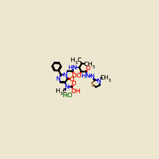 CC(C)[C@H](NC(=O)Cn1c(-c2ccccc2)ncc(N(C)C(=O)O)c1=O)C(=O)C(=O)N/N=C1\SCCN1C.Cl